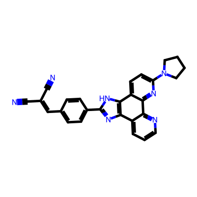 N#CC(C#N)=Cc1ccc(-c2nc3c4cccnc4c4nc(N5CCCC5)ccc4c3[nH]2)cc1